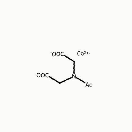 CC(=O)N(CC(=O)[O-])CC(=O)[O-].[Co+2]